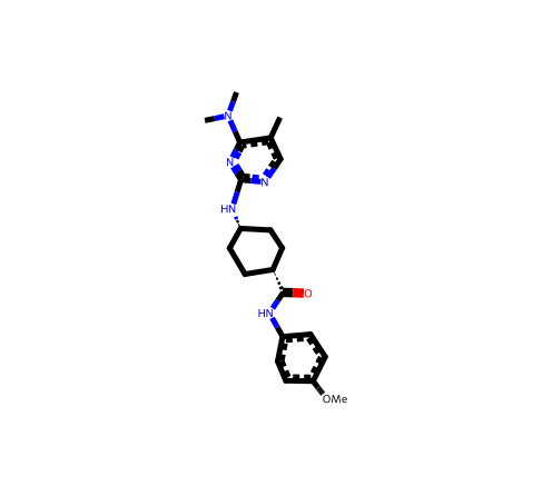 COc1ccc(NC(=O)[C@H]2CC[C@@H](Nc3ncc(C)c(N(C)C)n3)CC2)cc1